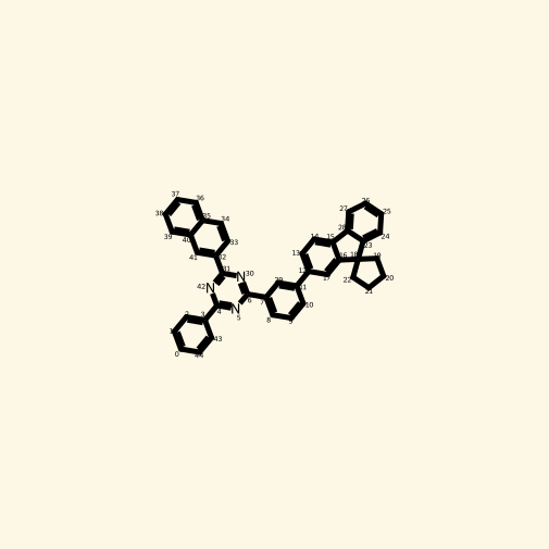 c1ccc(-c2nc(-c3cccc(-c4ccc5c(c4)C4(CCCC4)c4ccccc4-5)c3)nc(-c3ccc4ccccc4c3)n2)cc1